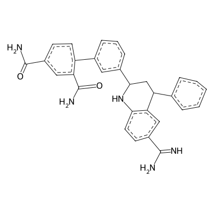 N=C(N)c1ccc2c(c1)C(c1ccccc1)CC(c1cccc(-c3ccc(C(N)=O)cc3C(N)=O)c1)N2